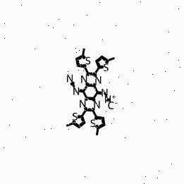 [C-]#[N+]N=C1c2nc(-c3ccc(C)s3)c(-c3ccc(C)s3)nc2C(=NC#N)c2nc(-c3ccc(C)s3)c(-c3ccc(C)s3)nc21